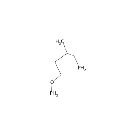 CC(CP)CCOP